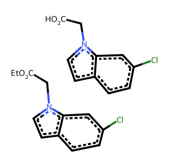 CCOC(=O)Cn1ccc2ccc(Cl)cc21.O=C(O)Cn1ccc2ccc(Cl)cc21